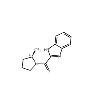 [CH2][C@@H]1CCCN1C(=O)c1nc2ccccc2[nH]1